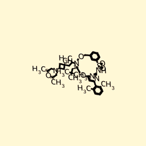 Cc1cccc(C)c1-c1cc2nc(n1)NS(=O)(=O)c1cccc(c1)COCN(C(C)C[C@]1(C)C[C@@H](N3C[C@@H](C)O[C@@H](C)C3)C1)[C@H](CC(C)(C)C)CO2